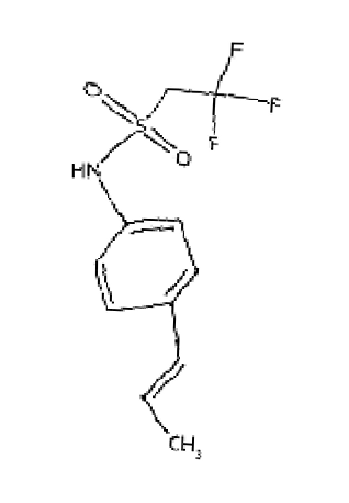 C/C=C/c1ccc(NS(=O)(=O)CC(F)(F)F)cc1